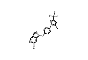 Cc1cc(C(F)(F)F)nn1-c1ccc(Cn2ncc3cnc(Cl)cc32)cc1